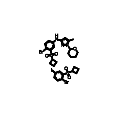 Cc1cc(Nc2ccc(Br)c(S(=O)(=O)C3CCC3)c2)nn1C1CCCCO1.O=S(=O)(c1cc(I)ccc1Br)C1CCC1